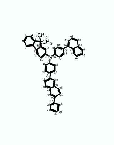 CC1(C)c2ccccc2-c2ccc(N(c3ccc(-c4ccc5cc(-c6ccccc6)ccc5c4)cc3)c3ccc(-c4cccc5ccccc45)cc3)cc21